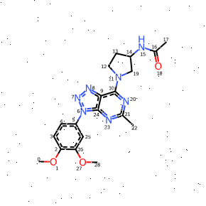 COc1ccc(-n2nnc3c(N4CCC(NC(C)=O)C4)nc(C)nc32)cc1OC